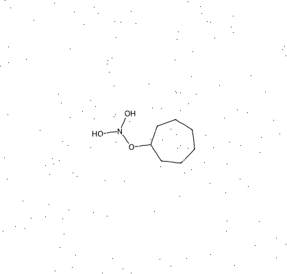 ON(O)OC1CCCCCC1